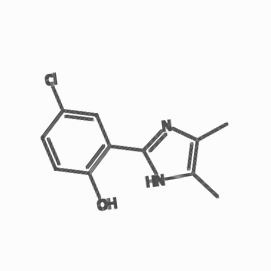 Cc1nc(-c2cc(Cl)ccc2O)[nH]c1C